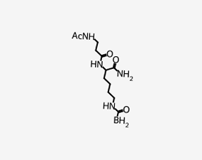 BC(=O)NCCCCC(NC(=O)CCNC(C)=O)C(N)=O